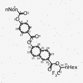 CCCCCCCCCC(=O)Oc1ccc(C(=O)Oc2ccc3cc(C(=O)OC(CCCCCC)C(F)(F)F)ccc3c2)cc1